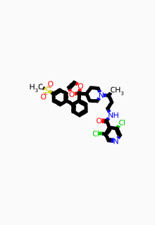 CC(CCNC(=O)c1c(Cl)cncc1Cl)N1CCC(C2(c3ccccc3-c3ccc(S(C)(=O)=O)cc3)OC=CO2)CC1